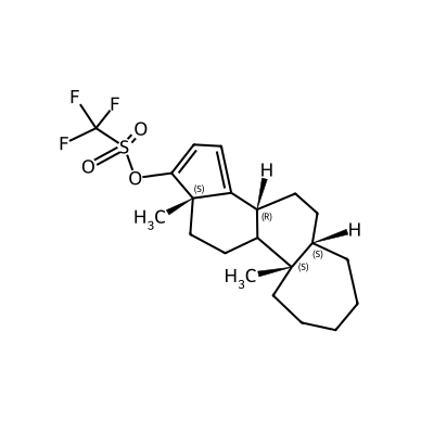 C[C@]12CCC3[C@@H](CC[C@@H]4CCCCC[C@]34C)C1=CC=C2OS(=O)(=O)C(F)(F)F